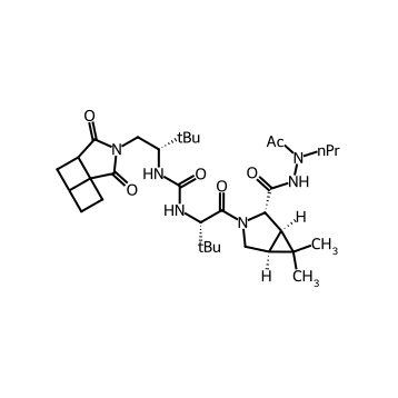 CCCN(NC(=O)[C@@H]1[C@@H]2[C@H](CN1C(=O)[C@@H](NC(=O)N[C@H](CN1C(=O)C3CC4CCC43C1=O)C(C)(C)C)C(C)(C)C)C2(C)C)C(C)=O